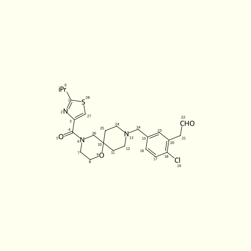 CC(C)c1nc(C(=O)N2CCOC3(CCN(Cc4ccc(Cl)c(CC=O)c4)CC3)C2)cs1